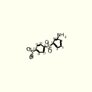 Nc1cccc(S(=O)(=O)c2ccc([SH](=O)=O)cc2)c1